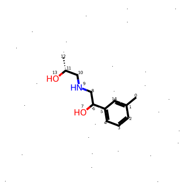 Cc1cccc(C(O)CNC[C@@H](C)O)c1